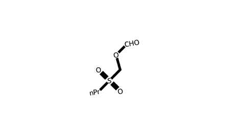 CCCS(=O)(=O)COC=O